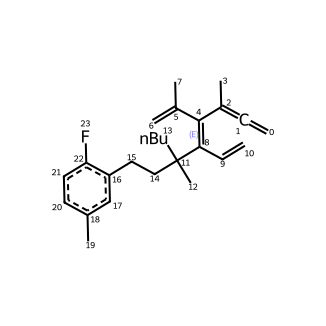 C=C=C(C)/C(C(=C)C)=C(\C=C)C(C)(CCCC)CCc1cc(C)ccc1F